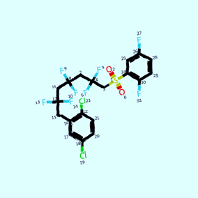 O=S(=O)(CC(F)(F)CC(F)(F)CC(F)(F)Cc1cc(Cl)ccc1Cl)c1cc(F)ccc1F